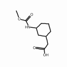 COC(=O)NC1CCCC(CC(=O)O)C1